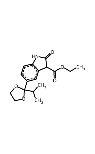 CCOC(=O)C1C(=O)Nc2ccc(C3(C(C)C)OCCO3)cc21